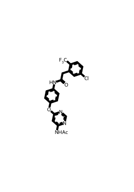 CC(=O)Nc1cc(Oc2ccc(NC(=O)Cc3cc(Cl)ccc3C(F)(F)F)cc2)ncn1